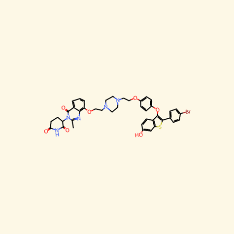 Cc1nc2c(OCCN3CCN(CCOc4ccc(Oc5c(-c6ccc(Br)cc6)sc6cc(O)ccc56)cc4)CC3)cccc2c(=O)n1C1CCC(=O)NC1=O